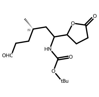 C[C@@H](CCC=O)CC(NC(=O)OC(C)(C)C)C1CCC(=O)O1